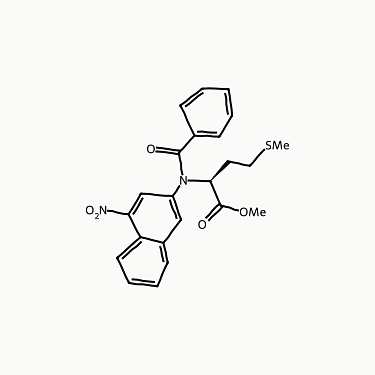 COC(=O)[C@H](CCSC)N(C(=O)c1ccccc1)c1cc([N+](=O)[O-])c2ccccc2c1